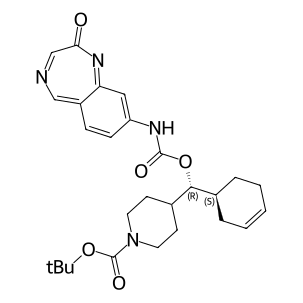 CC(C)(C)OC(=O)N1CCC([C@H](OC(=O)Nc2ccc3cncc(=O)nc3c2)[C@@H]2CC=CCC2)CC1